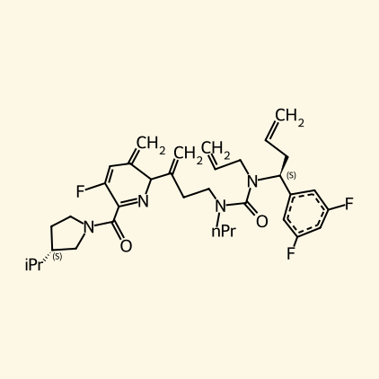 C=CC[C@@H](c1cc(F)cc(F)c1)N(CC=C)C(=O)N(CCC)CCC(=C)C1N=C(C(=O)N2CC[C@@H](C(C)C)C2)C(F)=CC1=C